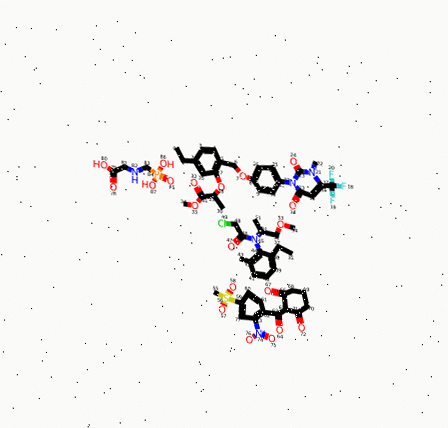 CCc1ccc(COc2ccc(-n3c(=O)cc(C(F)(F)F)n(C)c3=O)cc2)c(OC(C)C(=O)OC)c1.CCc1cccc(C)c1N(C(=O)CCl)C(C)COC.CS(=O)(=O)c1ccc(C(=O)C2C(=O)CCCC2=O)c([N+](=O)[O-])c1.O=C(O)CNCP(=O)(O)O